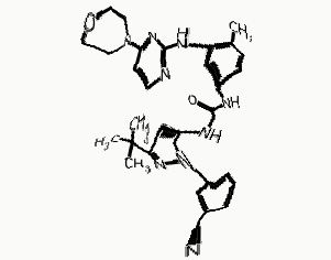 Cc1ccc(NC(=O)Nc2cc(C(C)(C)C)nn2-c2cccc(C#N)c2)cc1Nc1nccc(N2CCOCC2)n1